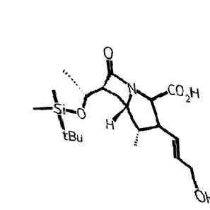 C[C@@H](O[Si](C)(C)C(C)(C)C)[C@H]1C(=O)N2C(C(=O)O)C(/C=C/CO)[C@H](C)[C@H]12